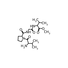 COC(=O)C(NC(=O)CNC(=O)C1CCCN1C(=O)C(N)C(C)C)C(C)C